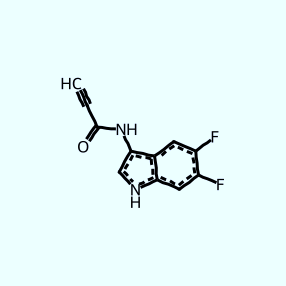 C#CC(=O)Nc1c[nH]c2cc(F)c(F)cc12